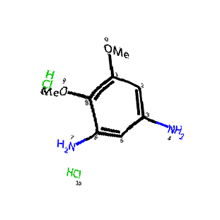 COc1cc(N)cc(N)c1OC.Cl.Cl